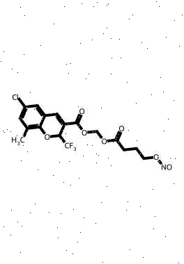 Cc1cc(Cl)cc2c1OC(C(F)(F)F)C(C(=O)OCOC(=O)CCCON=O)=C2